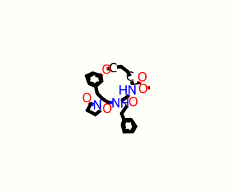 COC(=O)[C@@H]1CCCCOc2cccc(c2)C[C@H](N2CCCC2=O)C(=O)N[C@@H](CCc2ccccc2)C(=O)N1